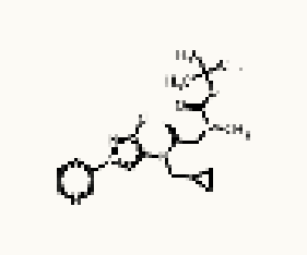 CN(CC(=O)N(CC1CC1)c1cn(-c2cccnc2)nc1Cl)C(=O)OC(C)(C)C